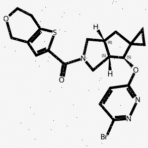 O=C(c1cc2c(s1)CCOC2)N1C[C@@H]2CC3(CC3)[C@@H](Oc3ccc(Br)nn3)[C@@H]2C1